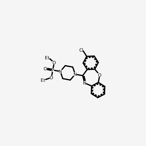 CCOP(=O)(OCC)N1CCN(C2=Nc3ccccc3Oc3ccc(Cl)cc32)CC1